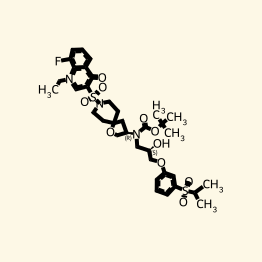 CCn1cc(S(=O)(=O)N2CCC3(CC2)C[C@@H](N(C[C@H](O)COc2cccc(S(=O)(=O)C(C)C)c2)C(=O)OC(C)(C)C)CO3)c(=O)c2cccc(F)c21